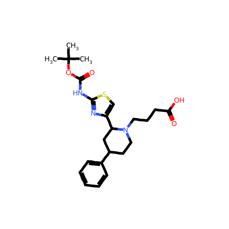 CC(C)(C)OC(=O)Nc1nc(C2CC(c3ccccc3)CCN2CCCC(=O)O)cs1